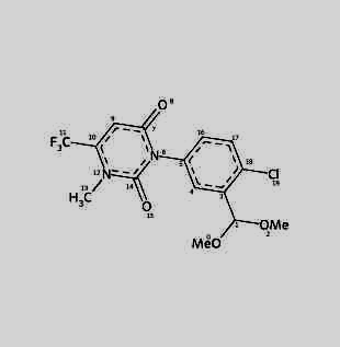 COC(OC)c1cc(-n2c(=O)cc(C(F)(F)F)n(C)c2=O)ccc1Cl